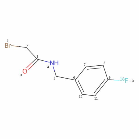 O=C(CBr)NCc1ccc([18F])cc1